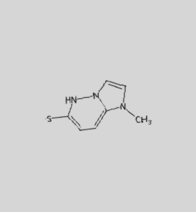 CN1C=CN2NC([S])=CC=C12